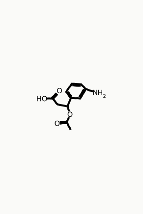 CC(=O)OC(CC(=O)O)c1cccc(N)c1